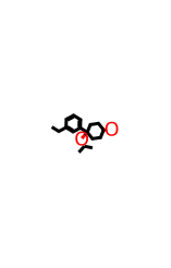 CCc1cccc(C2(OC(C)C)CCC(=O)CC2)c1